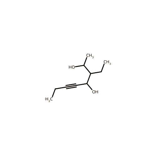 [CH2]CC#CC(O)C(CC)C(C)O